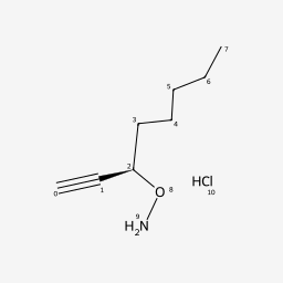 C#C[C@@H](CCCCC)ON.Cl